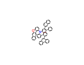 c1ccc(-c2ccc(N(c3ccccc3-c3ccccc3-c3cc4ccccc4c4ccccc34)c3cccc4oc5cc6ccccc6cc5c34)cc2-c2ccc3ccccc3c2)cc1